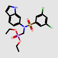 CCOP(=O)(CN(c1ccc2cc[nH]c2c1)S(=O)(=O)c1cc(Cl)cc(Cl)c1)OCC